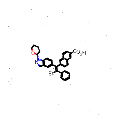 CC/C(=C(/c1ccc2cc(C(=O)O)ccc2c1)c1ccc2c(cnn2C2CCCCO2)c1)c1ccccc1